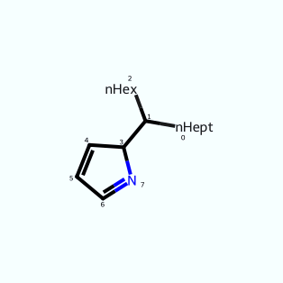 CCCCCCCC(CCCCCC)C1C=CC=N1